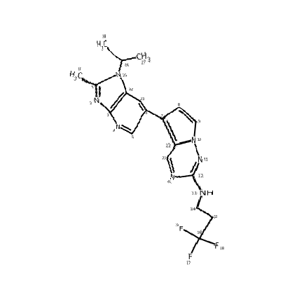 Cc1nc2ncc(-c3ccn4nc(NCCC(F)(F)F)ncc34)cc2n1C(C)C